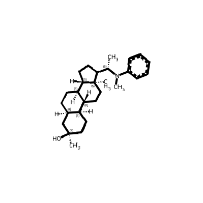 C[C@@H](C1CC[C@H]2[C@@H]3CC[C@@H]4C[C@](C)(O)CC[C@@H]4[C@H]3CC[C@]12C)N(C)c1ccccc1